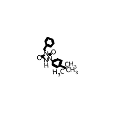 CC(C)(C)c1ccc(-n2[nH]c(=O)n(Cc3ccccc3)c2=O)cc1